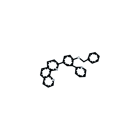 c1ccc(COc2ccc(-c3ccc4ccc5cccnc5c4n3)cc2-c2ccccn2)cc1